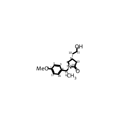 COc1ccc([C@@H](C)N2C[C@H](CCO)CC2=O)cc1